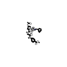 COC(=O)c1ccc(N(C)C(=O)CN(C)C(=O)C2CC(SC(C)=O)CN2S(=O)(=O)/C=C/c2ccccc2)cc1